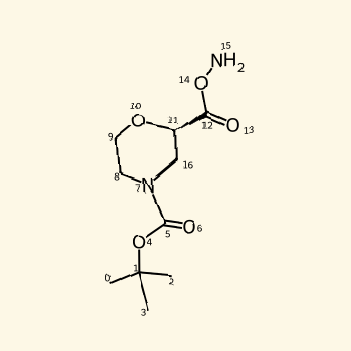 CC(C)(C)OC(=O)N1CCO[C@@H](C(=O)ON)C1